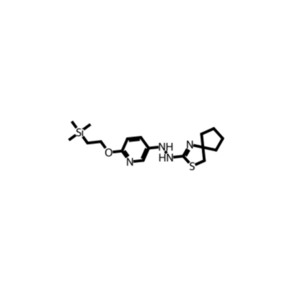 C[Si](C)(C)CCOc1ccc(NNC2=NC3(CCCC3)CS2)cn1